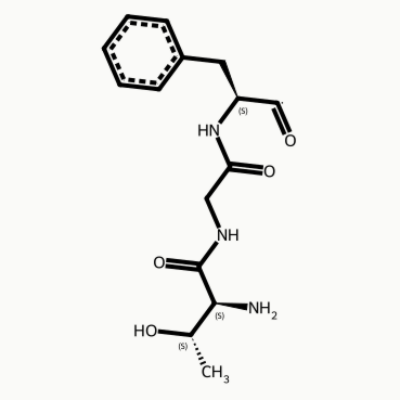 C[C@H](O)[C@H](N)C(=O)NCC(=O)N[C@H]([C]=O)Cc1ccccc1